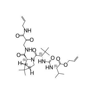 C=CCNC(=O)C(=O)CNC(=O)[C@@H]1[C@@H]2[C@H](CN1C(=O)[C@@H](NC(=O)N[C@H](C(=O)OCC=C)C(C)C)C(C)(C)C)C2(C)C